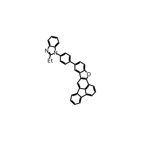 CCc1nc2ccccc2n1-c1ccc(-c2ccc3oc4c5cccc6c5c(cc4c3c2)-c2ccccc2-6)cc1